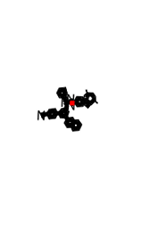 CCC1(c2ccc(-c3nc(-c4ccccc4)nc(-c4cc(-c5ccc(C#N)cc5)cc(-c5ccc6ccccc6c5)c4)n3)cc2)C[C@H](C)CC[C@H](C)C1